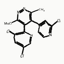 COc1nnc(C)c(-c2ccnc(Cl)c2)c1-c1ncc(Cl)cc1Cl